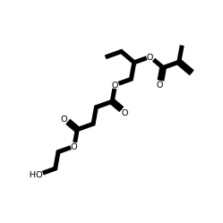 C=C(C)C(=O)OC(CC)COC(=O)CCC(=O)OCCO